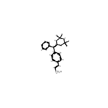 CC1(C)CC(=C(c2ccccc2)c2ccc(C=CC(=O)O)cc2)CC(C)(C)C1